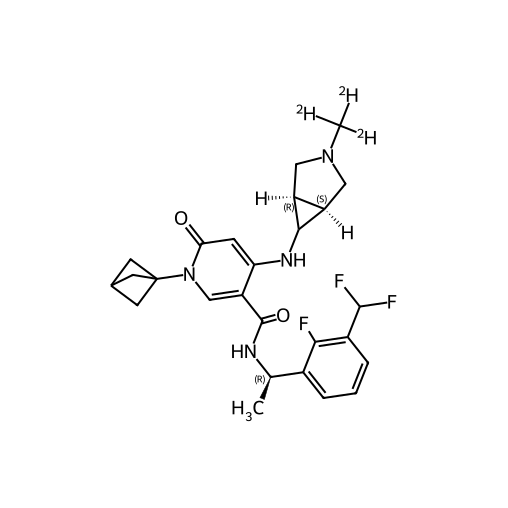 [2H]C([2H])([2H])N1C[C@@H]2C(Nc3cc(=O)n(C45CC(C4)C5)cc3C(=O)N[C@H](C)c3cccc(C(F)F)c3F)[C@@H]2C1